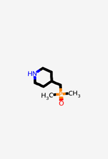 CP(C)(=O)CC1CCNCC1